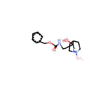 B[N+]12CCC(CC1)C(O)(CNC(=O)OCc1ccccc1)C2